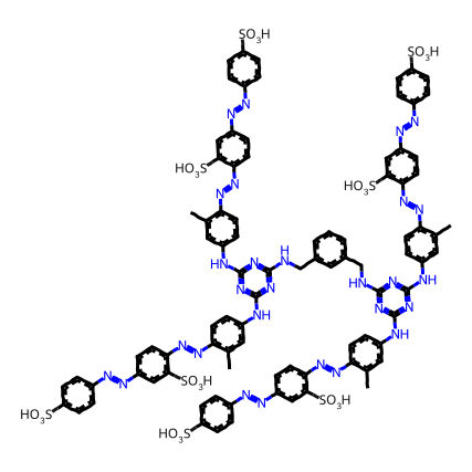 Cc1cc(Nc2nc(NCc3cccc(CNc4nc(Nc5ccc(N=Nc6ccc(N=Nc7ccc(S(=O)(=O)O)cc7)cc6S(=O)(=O)O)c(C)c5)nc(Nc5ccc(N=Nc6ccc(N=Nc7ccc(S(=O)(=O)O)cc7)cc6S(=O)(=O)O)c(C)c5)n4)c3)nc(Nc3ccc(N=Nc4ccc(N=Nc5ccc(S(=O)(=O)O)cc5)cc4S(=O)(=O)O)c(C)c3)n2)ccc1N=Nc1ccc(N=Nc2ccc(S(=O)(=O)O)cc2)cc1S(=O)(=O)O